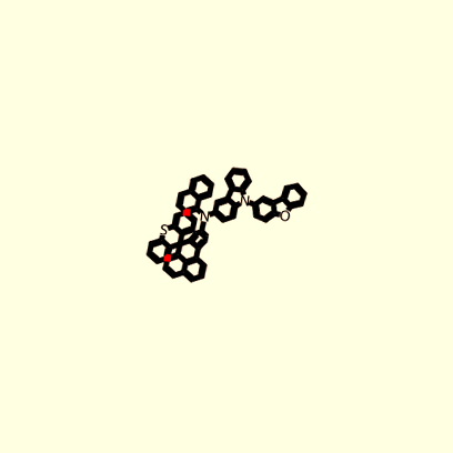 c1ccc2c(c1)Sc1ccccc1C21c2cc(N(c3ccc4c(c3)c3ccccc3n4-c3ccc4oc5ccccc5c4c3)c3cccc4ccccc34)ccc2-c2cccc3cccc1c23